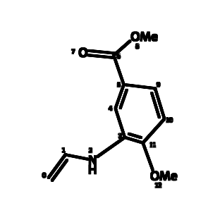 C=CNc1cc(C(=O)OC)ccc1OC